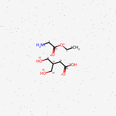 CCOC(=O)CN.O=C(O)CC(CO)CO